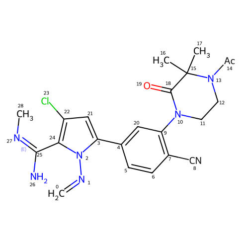 C=Nn1c(-c2ccc(C#N)c(N3CCN(C(C)=O)C(C)(C)C3=O)c2)cc(Cl)c1/C(N)=N\C